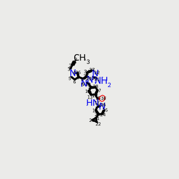 CC#CCN1CCC(c2nc(-c3ccc(C(=O)Nc4cc(C5CC5)ccn4)cc3)n3c(N)nccc23)C1